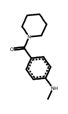 CNc1ccc(C(=O)N2CCCCC2)cc1